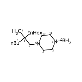 BN1CCN(CC(C)(CCCC)CCCCCC)CC1